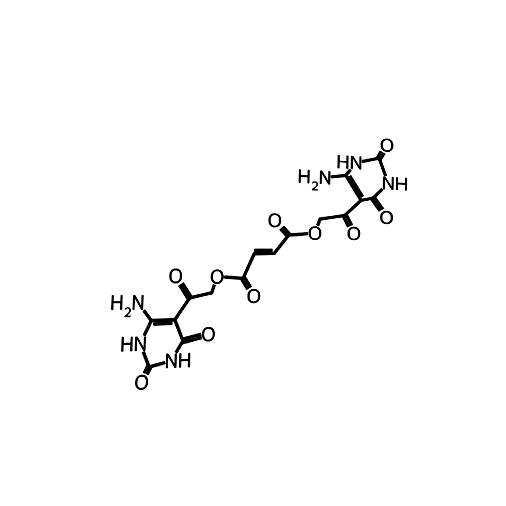 Nc1[nH]c(=O)[nH]c(=O)c1C(=O)COC(=O)/C=C/C(=O)OCC(=O)c1c(N)[nH]c(=O)[nH]c1=O